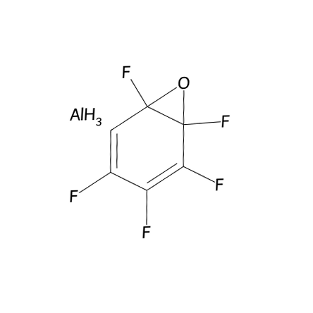 FC1=CC2(F)OC2(F)C(F)=C1F.[AlH3]